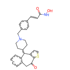 O=C(C=Cc1ccc(CN2CCC(=C3c4ccccc4CC(=O)c4sccc43)CC2)cc1)NO